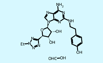 CCn1nnc([C@H]2O[C@@H](n3cnc4c(N)nc(NCCc5ccc(O)cc5)nc43)[C@H](O)[C@@H]2O)n1.O=CO